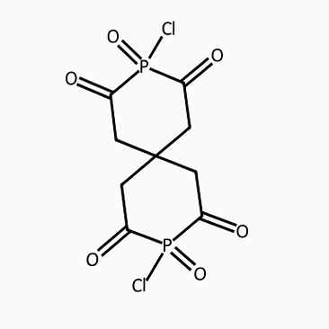 O=C1CC2(CC(=O)P1(=O)Cl)CC(=O)P(=O)(Cl)C(=O)C2